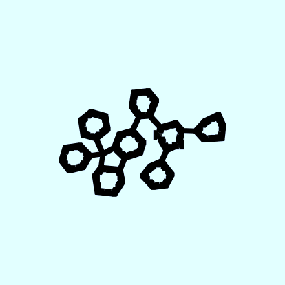 c1ccc(-c2cc(-c3ccccc3-c3ccc4c(c3)C(c3ccccc3)(c3ccccc3)c3ccccc3-4)nc(-c3ccccc3)n2)cc1